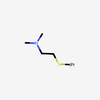 CC(C)SCCN(C)C